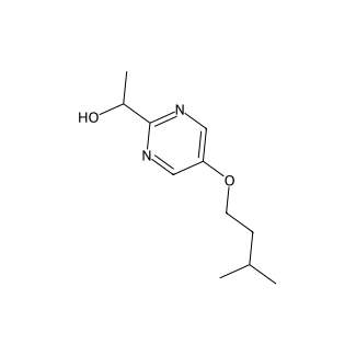 CC(C)CCOc1cnc(C(C)O)nc1